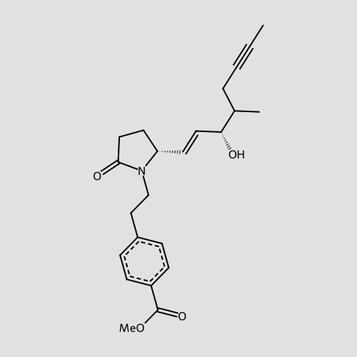 CC#CCC(C)[C@H](O)/C=C/[C@H]1CCC(=O)N1CCc1ccc(C(=O)OC)cc1